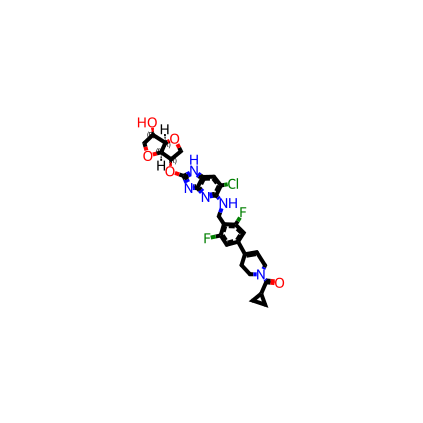 O=C(C1CC1)N1CC=C(c2cc(F)c(CNc3nc4nc(O[C@@H]5CO[C@H]6[C@@H]5OC[C@H]6O)[nH]c4cc3Cl)c(F)c2)CC1